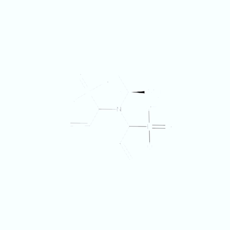 C=CC(N(C(C=C)P(=O)(O)O)[C@@H](C)C(=O)O)P(=O)(O)O